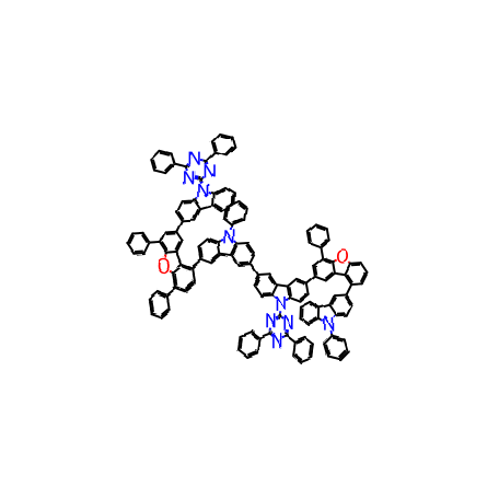 c1ccc(-c2nc(-c3ccccc3)nc(-n3c4ccccc4c4cc(-c5cc(-c6ccccc6)c6oc7c(-c8ccccc8)ccc(-c8ccc9c(c8)c8cc(-c%10ccc%11c(c%10)c%10cc(-c%12cc(-c%13ccccc%13)c%13oc%14cccc(-c%15ccc%16c(c%15)c%15ccccc%15n%16-c%15ccccc%15)c%14c%13c%12)ccc%10n%11-c%10nc(-c%11ccccc%11)nc(-c%11ccccc%11)n%10)ccc8n9-c8ccccc8)c7c6c5)ccc43)n2)cc1